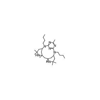 CCCCN1c2nc(C)nc(n2)N(CCCC)C2CC(C)(C)NC(C)(C2)CC2(C)CC1CC(C)(C)N2